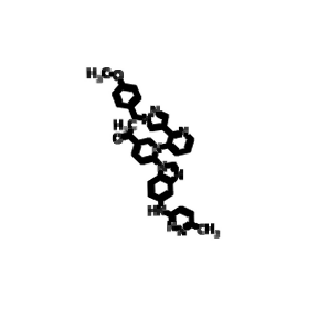 COc1ccc(Cn2cc(-c3ncccc3N3CC(C(C)=O)=CC=C3n3cnc4cc(Nc5ccc(C)nn5)ccc43)cn2)cc1